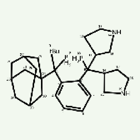 CC(C)(C)C(P)(c1ccccc1C(P)(C1CCNC1)C1CCNC1)C12CC3CC(CC(C3)C1)C2